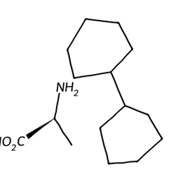 C1CCC(C2CCCCC2)CC1.C[C@H](N)C(=O)O